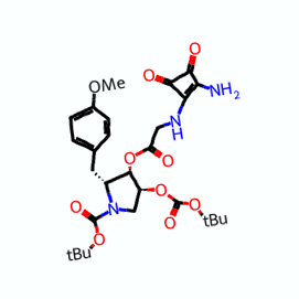 COc1ccc(C[C@@H]2[C@H](OC(=O)CNc3c(N)c(=O)c3=O)[C@@H](OC(=O)OC(C)(C)C)CN2C(=O)OC(C)(C)C)cc1